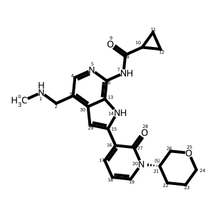 CNCc1cnc(NC(=O)C2CC2)c2[nH]c(-c3cccn([C@H]4CCCOC4)c3=O)cc12